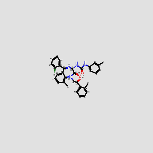 Cc1cccc(NC(=O)N[C@@H]2N=C(c3ccccc3F)c3cccc(C)c3N(CC(=O)c3ccccc3C)C2=O)c1